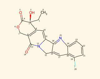 CC[C@@]1(O)C(=O)OCc2c1cc1n(c2=O)Cc2cc3c(F)cccc3nc2-1